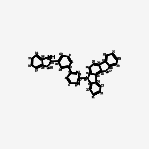 c1cc(-c2ccnc(-n3c4ccccc4c4c5sc6ccccc6c5ccc43)n2)cc(C2Nc3ccccc3S2)c1